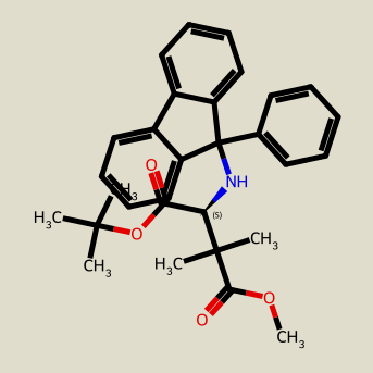 COC(=O)C(C)(C)[C@H](NC1(c2ccccc2)c2ccccc2-c2ccccc21)C(=O)OC(C)(C)C